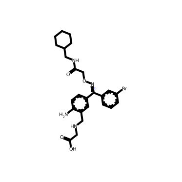 Nc1ccc(/C(=N\OCC(=O)NCC2CCCCC2)c2cccc(Br)c2)cc1CNCC(=O)O